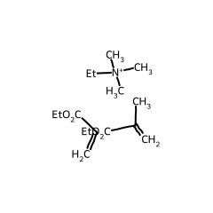 C=C(C)C(=O)OCC.C=CC(=O)OCC.CC[N+](C)(C)C